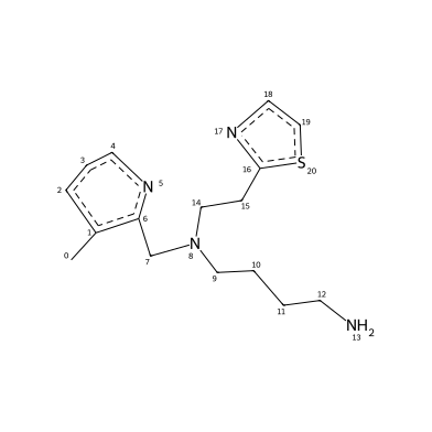 Cc1cccnc1CN(CCCCN)CCc1nccs1